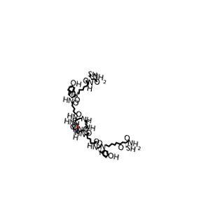 NC(=O)[C@H](CS)CC(=O)CCCCCNC(=O)[C@H](Cc1ccc(O)cc1)NC(=O)CCCC(=O)N[C@]12CNCCNC[C@](NC(=O)CCCC(=O)N[C@@H](Cc3ccc(O)cc3)C(=O)NCCCCCC(=O)N[C@@H](CS)C(N)=O)(CNCCNC1)NCCN2